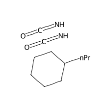 CCCC1CCCCC1.N=C=O.N=C=O